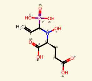 C=CC(N(O)[C@@H](CCC(=O)O)C(=O)O)P(=O)(O)O